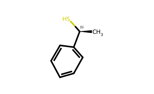 C[C@H](S)c1ccccc1